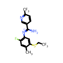 Cc1cc(F)c(/N=C(\N)c2ccc(C(F)(F)F)nc2)cc1SCC(F)(F)F